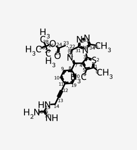 Cc1sc2c(c1C)C(c1ccc(C#CCNC(=N)N)cc1)=N[C@H](CC(=O)OC(C)(C)C)c1nnc(C)n1-2